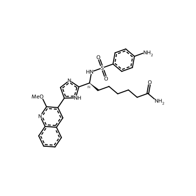 COc1nc2ccccc2cc1-c1cnc([C@H](CCCCCC(N)=O)NS(=O)(=O)c2ccc(N)cc2)[nH]1